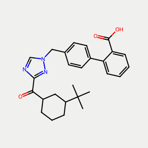 CC(C)(C)C1CCCC(C(=O)c2ncn(Cc3ccc(-c4ccccc4C(=O)O)cc3)n2)C1